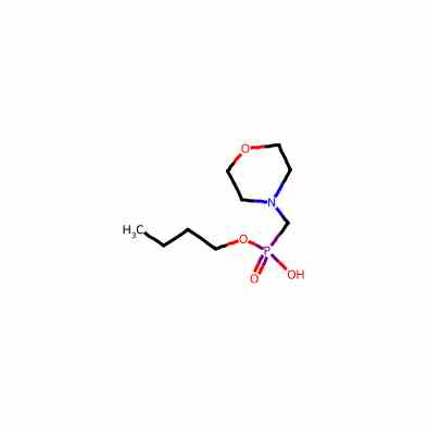 CCCCOP(=O)(O)CN1CCOCC1